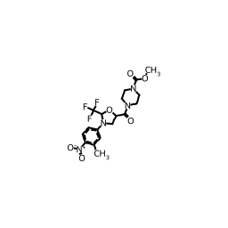 COC(=O)N1CCN(C(=O)C2CN(c3ccc([N+](=O)[O-])c(C)c3)C(C(F)(F)F)O2)CC1